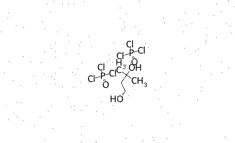 CC(C)(O)CCO.O=P(Cl)(Cl)Cl.O=P(Cl)(Cl)Cl